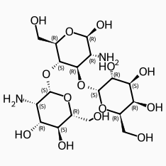 N[C@@H]1[C@H](O[C@H]2[C@H](O[C@H]3O[C@H](CO)[C@H](O)[C@H](O)[C@H]3O)[C@@H](N)[C@H](O)O[C@@H]2CO)O[C@H](CO)[C@@H](O)[C@@H]1O